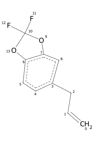 C=CCc1ccc2c(c1)OC(F)(F)O2